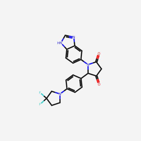 O=C1CC(=O)N(c2ccc3[nH]cnc3c2)C1c1ccc(N2CCC(F)(F)C2)cc1